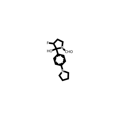 O=CN1CCC(F)C1(O)c1ccc(N2CCCC2)cc1